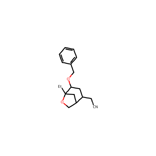 CCC12CC(CO1)C(CC#N)CC2OCc1ccccc1